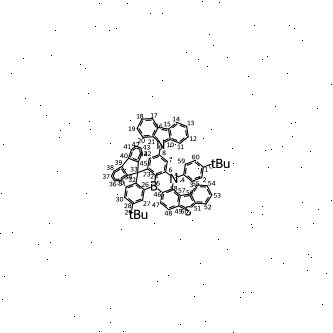 CC(C)(C)c1ccc(N2c3cc(-n4c5ccccc5c5ccccc54)cc4c3B(c3cc(C(C)(C)C)ccc3C43c4ccccc4-c4ccccc43)c3ccc4sc5ccccc5c4c32)cc1